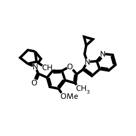 COc1cc(C(=O)N2CC3CCC2C3C)cc2oc(-c3cc4cccnc4n3CC3CC3)c(C)c12